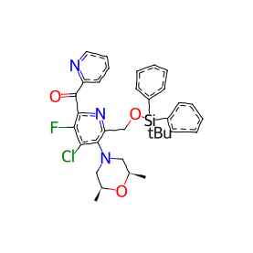 C[C@@H]1CN(c2c(CO[Si](c3ccccc3)(c3ccccc3)C(C)(C)C)nc(C(=O)c3ccccn3)c(F)c2Cl)C[C@H](C)O1